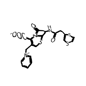 O=C(CC1=CSCCS1)NC1C(=O)N2C(C(=O)[O-])=C(C[n+]3ccccc3)CSC12